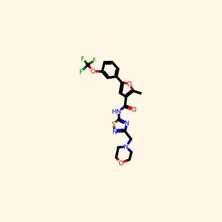 Cc1oc(-c2cccc(OC(F)(F)F)c2)cc1C(=O)Nc1nc(CN2CCOCC2)ns1